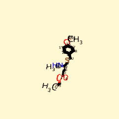 CCOC(=O)CC[C@H](CSCc1ccc(OC)cc1)NC